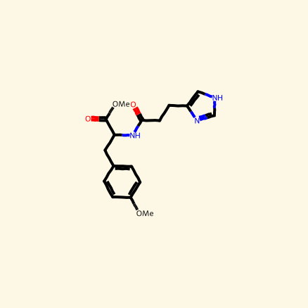 COC(=O)C(Cc1ccc(OC)cc1)NC(=O)CCc1c[nH]cn1